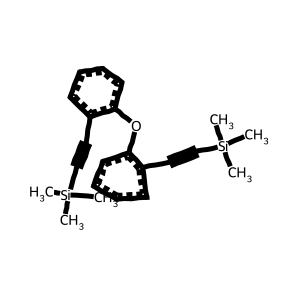 C[Si](C)(C)C#Cc1ccccc1Oc1ccccc1C#C[Si](C)(C)C